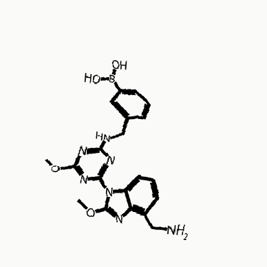 COc1nc(NCc2cccc(B(O)O)c2)nc(-n2c(OC)nc3c(CN)cccc32)n1